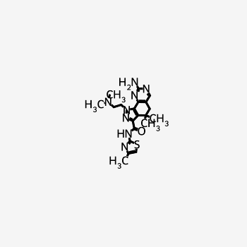 Cc1csc(NC(=O)c2nn(CCN(C)C)c3c2C(C)(C)Cc2cnc(N)nc2-3)n1